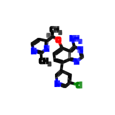 Cc1nccc([C@@H](C)Oc2ccc(-c3cncc(Cl)c3)c3ncnc(N)c23)n1